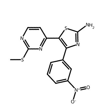 CSc1nccc(-c2sc(N)nc2-c2cccc([N+](=O)[O-])c2)n1